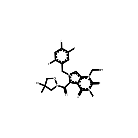 CC(C)Cn1c(=O)n(C)c(=O)c2c(C(=O)N3CC(C)(O)CO3)n(Cc3cc(F)c(F)cc3F)cc21